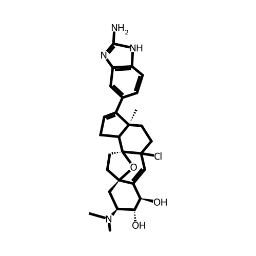 CN(C)[C@H]1C[C@@]23CC[C@]4(O2)C2CC=C(c5ccc6[nH]c(N)nc6c5)[C@@]2(C)CCC4(Cl)C=C3[C@@H](O)[C@@H]1O